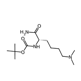 CN(C)CCCC[C@H](NC(=O)OC(C)(C)C)C(N)=O